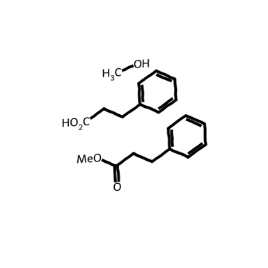 CO.COC(=O)CCc1ccccc1.O=C(O)CCc1ccccc1